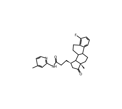 Cc1ccnc(NC(=O)CC[C@@H]2CC(=O)[C@@]3(C)CCC4c5cccc(F)c5CCC4C23)c1